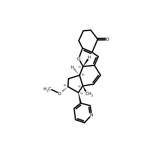 CO[C@@H]1C[C@H]2[C@@H]3OC4=C(C=C3C=C[C@]2(C)[C@H]1c1cccnc1)C(=O)CCC4